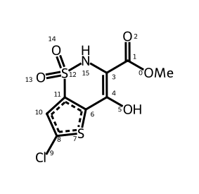 COC(=O)C1=C(O)c2sc(Cl)cc2S(=O)(=O)N1